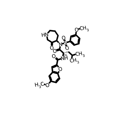 COc1cccc(S(=O)(=O)N(C(=O)[C@H](CC(C)C)NC(=O)c2cc3cc(OC)ccc3o2)C2CCCNCC2=O)c1